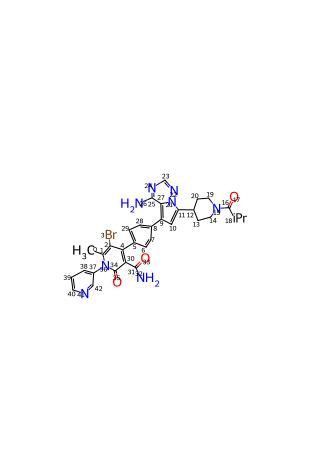 Cc1c(Br)c(-c2ccc(-c3cc(C4CCN(C(=O)C(C)C)CC4)n4ncnc(N)c34)cc2)c(C(N)=O)c(=O)n1-c1cccnc1